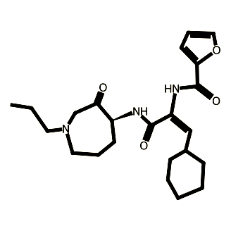 CCCN1CCC[C@H](NC(=O)/C(=C\C2CCCCC2)NC(=O)c2ccco2)C(=O)C1